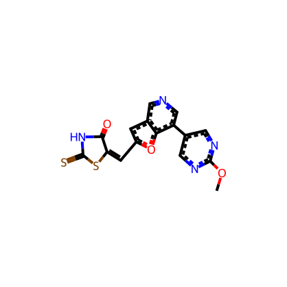 COc1ncc(-c2cncc3cc(/C=C4/SC(=S)NC4=O)oc23)cn1